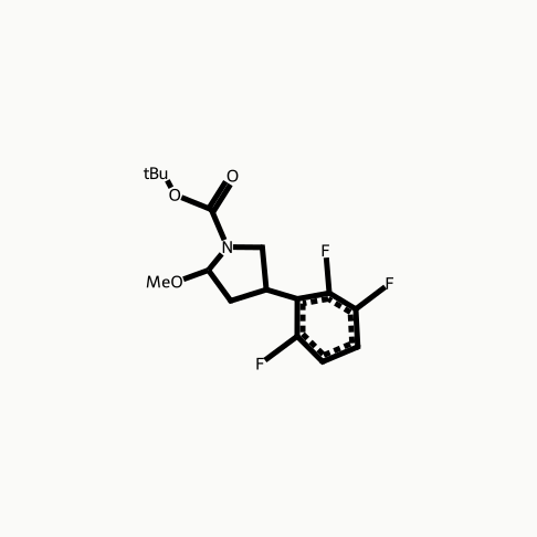 COC1CC(c2c(F)ccc(F)c2F)CN1C(=O)OC(C)(C)C